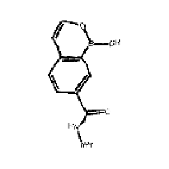 CCCNC(=O)c1ccc2c(c1)B(O)OC=C2